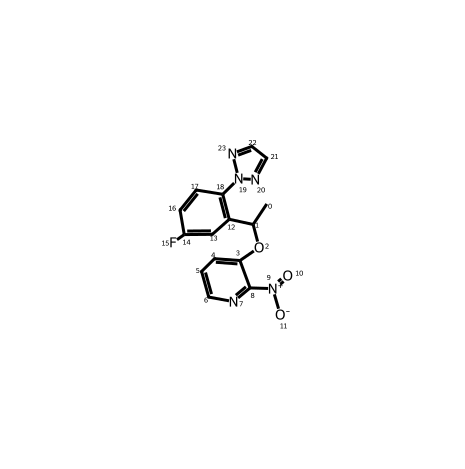 CC(Oc1cccnc1[N+](=O)[O-])c1cc(F)ccc1-n1nccn1